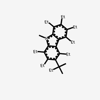 CCc1c(CC)c(CC)c2c(c1CC)c1c(CC)c(C(C)(C)CC)c(CC)c(CC)c1n2C